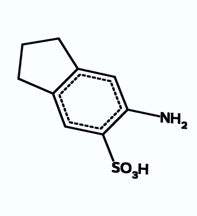 Nc1cc2c(cc1S(=O)(=O)O)CCC2